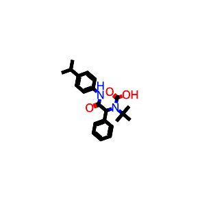 CC(C)c1ccc(NC(=O)C(c2ccccc2)N(C(=O)O)C(C)(C)C)cc1